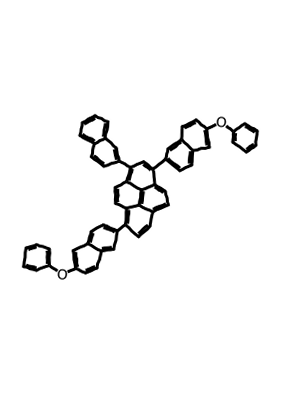 c1ccc(Oc2ccc3cc(-c4ccc5ccc6c(-c7ccc8cc(Oc9ccccc9)ccc8c7)cc(-c7ccc8ccccc8c7)c7ccc4c5c76)ccc3c2)cc1